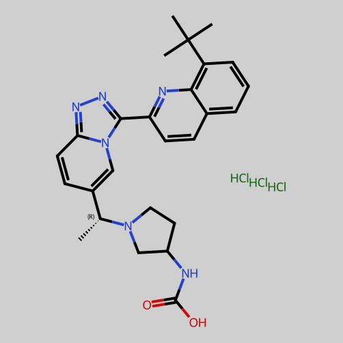 C[C@H](c1ccc2nnc(-c3ccc4cccc(C(C)(C)C)c4n3)n2c1)N1CCC(NC(=O)O)C1.Cl.Cl.Cl